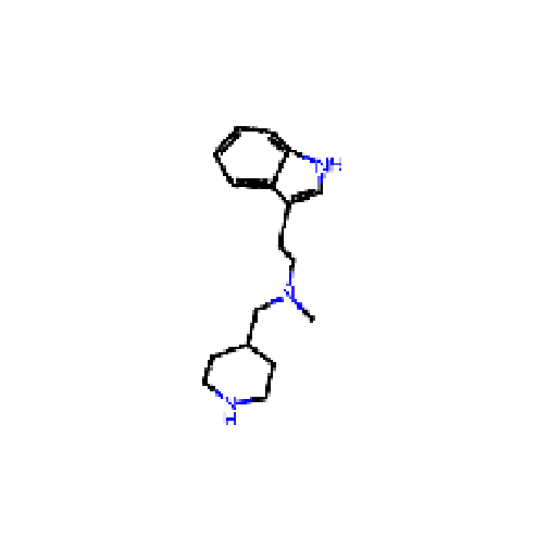 CN(CCc1c[nH]c2ccccc12)CC1CCNCC1